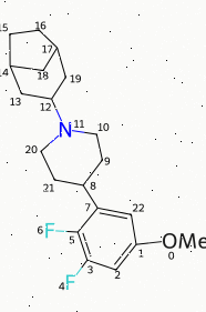 COc1cc(F)c(F)c(C2CCN(C3CC4CCC(C4)C3)CC2)c1